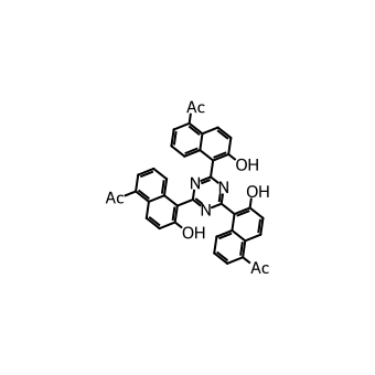 CC(=O)c1cccc2c(-c3nc(-c4c(O)ccc5c(C(C)=O)cccc45)nc(-c4c(O)ccc5c(C(C)=O)cccc45)n3)c(O)ccc12